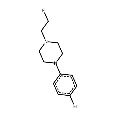 CCc1ccc(N2CCN(CCF)CC2)cc1